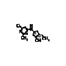 CC[C@H]1C[C@@H](Nc2cc(Cl)nc(C)n2)C[C@@H]1O